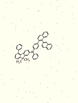 CC1(C)c2cc(N(c3ccccc3)c3ccc(-c4ccc5ccccc5c4-c4ccc5ccccc5c4)cc3)ccc2-c2c(-c3ccccc3)cccc21